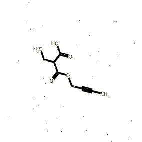 CC#CCOC(=O)C(CC)C(=O)O